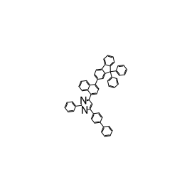 c1ccc(-c2ccc(-c3cc(-c4ccc(-c5ccc6c(c5)C(c5ccccc5)(c5ccccc5)c5ccccc5-6)c5ccccc45)nc(-c4ccccc4)n3)cc2)cc1